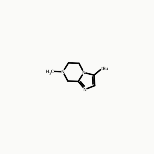 CN1CCn2c(C(C)(C)C)cnc2C1